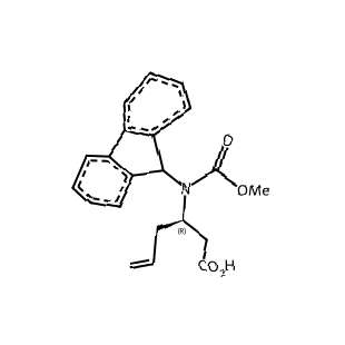 C=CC[C@H](CC(=O)O)N(C(=O)OC)C1c2ccccc2-c2ccccc21